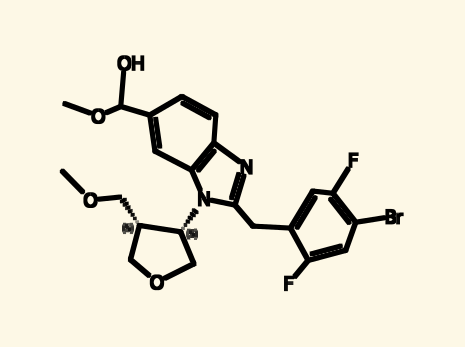 COC[C@H]1COC[C@H]1n1c(Cc2cc(F)c(Br)cc2F)nc2ccc(C(O)OC)cc21